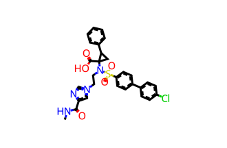 CNC(=O)c1cn(CCN(C2(C(=O)O)CC2c2ccccc2)S(=O)(=O)c2ccc(-c3ccc(Cl)cc3)cc2)cn1